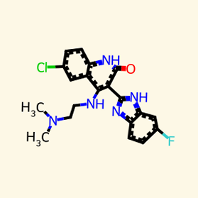 CN(C)CCNc1c(-c2nc3ccc(F)cc3[nH]2)c(=O)[nH]c2ccc(Cl)cc12